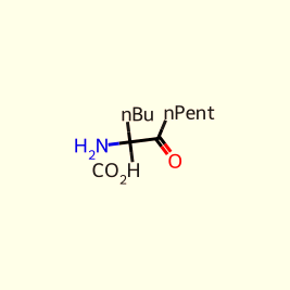 CCCCCC(=O)C(N)(CCCC)C(=O)O